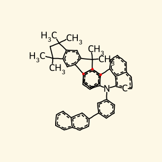 CC1(C)CC(C)(C)c2cc3c(cc21)-c1cccc(-c2cccc4cccc(N(c5ccccc5)c5cccc(-c6ccc7ccccc7c6)c5)c24)c1C3(C)C